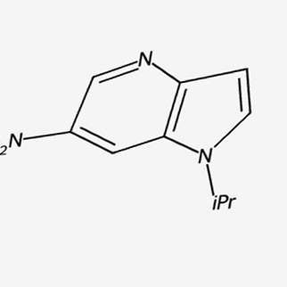 CC(C)n1ccc2ncc(N)cc21